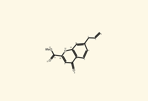 C=CCc1ccc2c(=O)cc(C(=O)OC)oc2c1